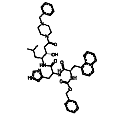 CC(C)C[C@H](NC(=O)C(Cc1c[nH]cn1)NC(=O)[C@@H](Cc1cccc2ccccc12)NC(=O)OCc1ccccc1)[C@@H](O)CC(=O)N1CCN(Cc2ccccc2)CC1